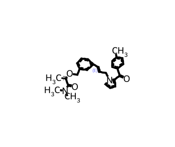 Cc1ccc(C(=O)c2cccn2C/C=C/c2cccc(CO[C@H](C)C(=O)N(C)C)c2)cc1